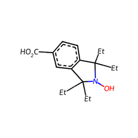 CCC1(CC)c2ccc(C(=O)O)cc2C(CC)(CC)N1O